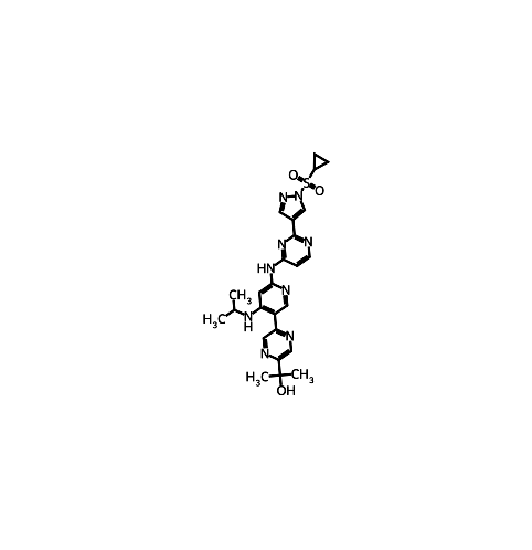 CC(C)Nc1cc(Nc2ccnc(-c3cnn(S(=O)(=O)C4CC4)c3)n2)ncc1-c1cnc(C(C)(C)O)cn1